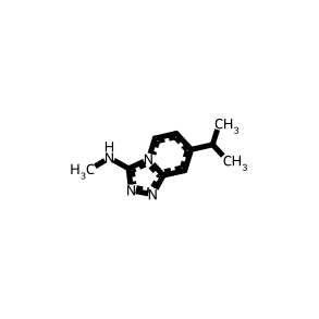 CNc1nnc2cc(C(C)C)ccn12